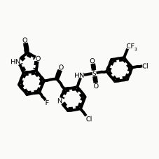 O=C(c1ncc(Cl)cc1NS(=O)(=O)c1ccc(Cl)c(C(F)(F)F)c1)c1c(F)ccc2[nH]c(=O)oc12